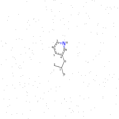 [CH2]C(C)Cc1cccnc1